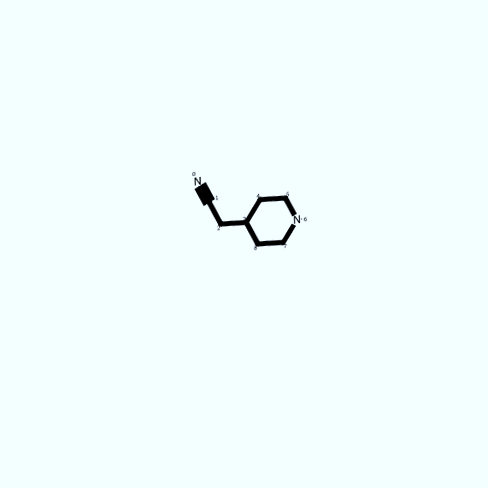 N#CCC1CC[N]CC1